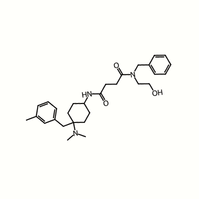 Cc1cccc(CC2(N(C)C)CCC(NC(=O)CCC(=O)N(CCO)Cc3ccccc3)CC2)c1